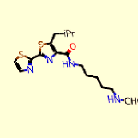 CC(C)Cc1sc(-c2nccs2)nc1C(=O)NCCCCCNC=O